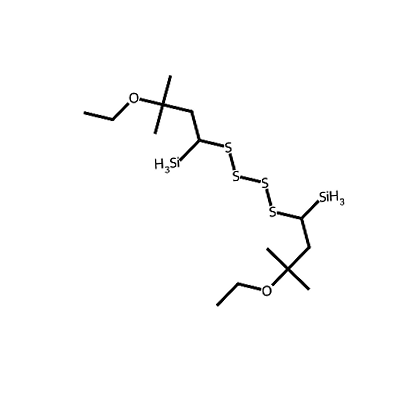 CCOC(C)(C)CC([SiH3])SSSSC([SiH3])CC(C)(C)OCC